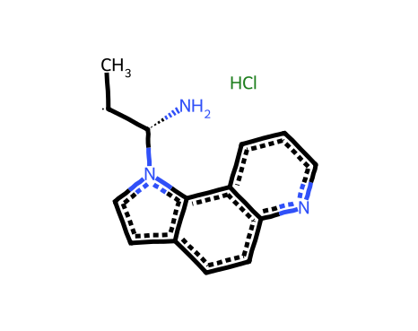 C[CH][C@H](N)n1ccc2ccc3ncccc3c21.Cl